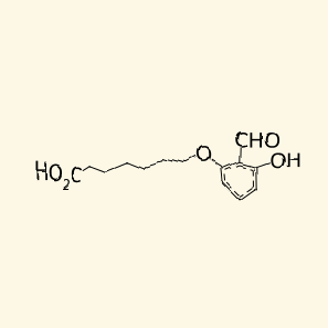 O=Cc1c(O)cccc1OCCCCCCC(=O)O